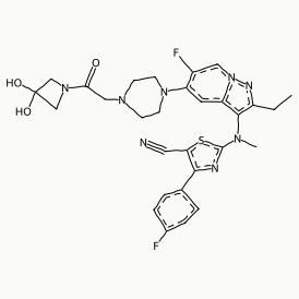 CCc1nn2cc(F)c(N3CCN(CC(=O)N4CC(O)(O)C4)CC3)cc2c1N(C)c1nc(-c2ccc(F)cc2)c(C#N)s1